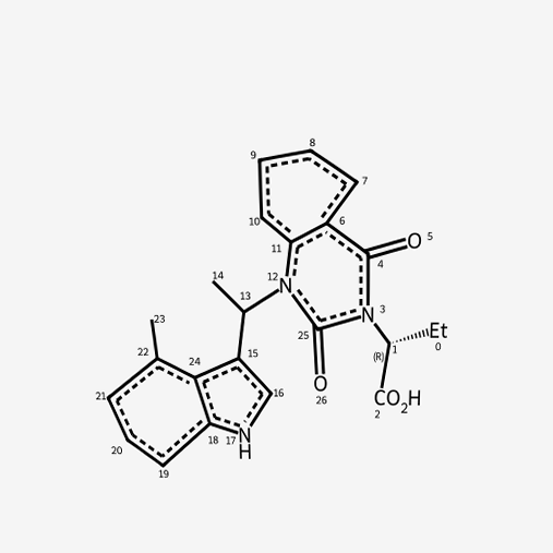 CC[C@H](C(=O)O)n1c(=O)c2ccccc2n(C(C)c2c[nH]c3cccc(C)c23)c1=O